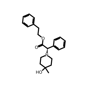 CC1(O)CCN([C@@H](C(=O)OCCc2ccccc2)c2ccccc2)CC1